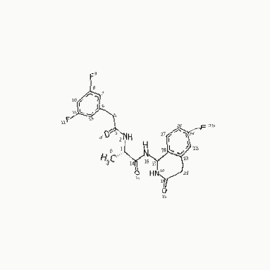 C[C@H](NC(=O)Cc1cc(F)cc(F)c1)C(=O)NC1NC(=O)Cc2cc(F)ccc21